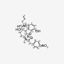 C=CCN1CC[C@]23c4c5ccc(O)c4O[C@H]2[C@@H](N(C)C(=O)Cc2ccc([N+](=O)[O-])cc2)CC[C@@]3(O)[C@H]1C5